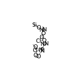 CCOC(=O)CC1(n2cc(-c3cnc4ccc(Oc5ccc6nc(C)n(COCC[Si](C)(C)C)c6c5)c(Cl)c4n3)cn2)CCC2(CC1)OCCO2